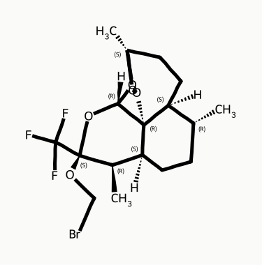 C[C@@H]1CC[C@H]2[C@@H](C)[C@](OCBr)(C(F)(F)F)O[C@@H]3O[C@]4(C)CC[C@@H]1[C@]32OO4